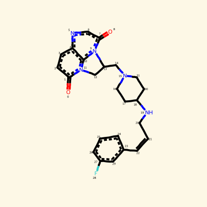 O=c1ccc2ncc(=O)n3c2n1CC3CN1CCC(NC/C=C\c2cccc(F)c2)CC1